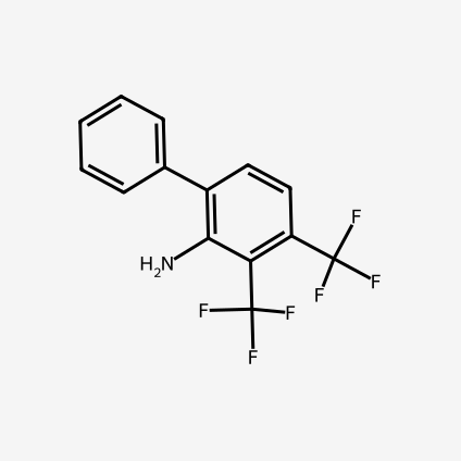 Nc1c(-c2ccccc2)ccc(C(F)(F)F)c1C(F)(F)F